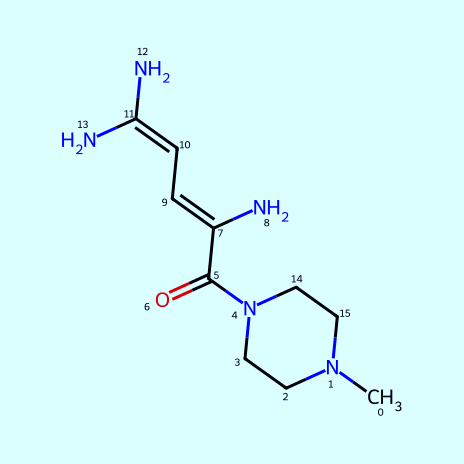 CN1CCN(C(=O)/C(N)=C/C=C(N)N)CC1